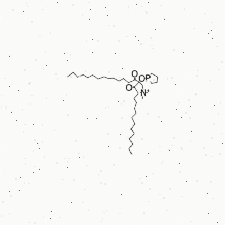 CCCCCCCCCCCCCC(=O)C(C[N+](C)(C)C)(OP1CCCC1)C(=O)CCCCCCCCCCCCC